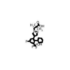 CC(C)(Cn1cc(-c2cc(F)cc(C(F)(F)F)c2-c2ccccc2O)cn1)C(=O)O